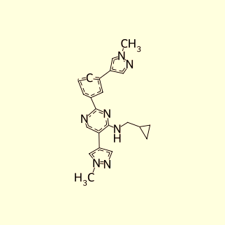 Cn1cc(-c2cccc(-c3ncc(-c4cnn(C)c4)c(NCC4CC4)n3)c2)cn1